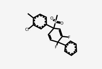 Cc1ccc(C2(S(C)(=O)=O)C=CC(F)(c3ccccc3)C(F)=C2)cc1Cl